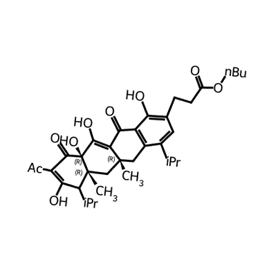 CCCCOC(=O)CCc1cc(C(C)C)c2c(c1O)C(=O)C1=C(O)[C@@]3(O)C(=O)C(C(C)=O)=C(O)C(C(C)C)[C@@]3(C)C[C@@]1(C)C2